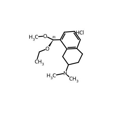 CCO[C@@H](OC)c1cccc2c1CC(N(C)C)CC2.Cl